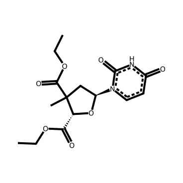 CCOC(=O)[C@H]1O[C@H](n2ccc(=O)[nH]c2=O)CC1(C)C(=O)OCC